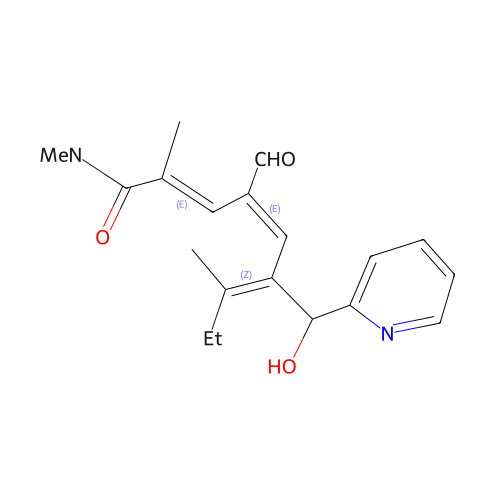 CC/C(C)=C(/C=C(C=O)\C=C(/C)C(=O)NC)C(O)c1ccccn1